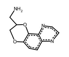 NCC1COc2ccc3nccnc3c2O1